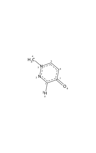 [2H]c1nn(C)ccc1=O